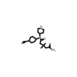 CC(C)(CC(N)=O)CC(=O)N(C1CCNCC1)C1CCC(C#N)CC1